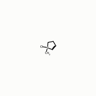 C[Si]1(Cl)C=CCC1